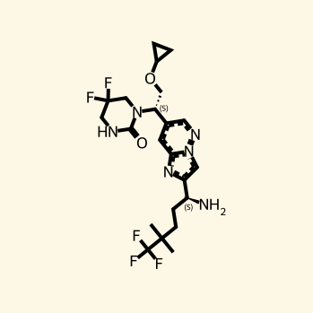 CC(C)(CC[C@H](N)c1cn2ncc([C@@H](COC3CC3)N3CC(F)(F)CNC3=O)cc2n1)C(F)(F)F